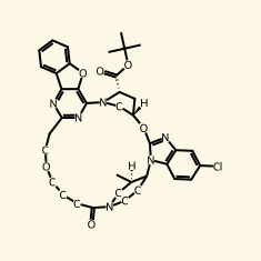 C[C@@H]1CN2CCC1n1c(nc3cc(Cl)ccc31)O[C@H]1C[C@@H](C(=O)OC(C)(C)C)N(C1)c1nc(nc3c1oc1ccccc13)CCOCCCC2=O